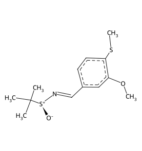 COc1cc(C=N[S@@+]([O-])C(C)(C)C)ccc1SC